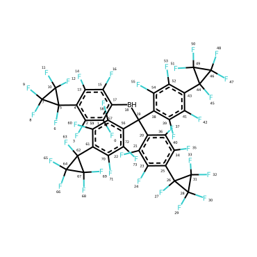 Fc1c(F)c(C2(F)C(F)(F)C2(F)F)c(F)c(F)c1BC(c1c(F)c(F)c(C2(F)C(F)(F)C2(F)F)c(F)c1F)(c1c(F)c(F)c(C2(F)C(F)(F)C2(F)F)c(F)c1F)c1c(F)c(F)c(C2(F)C(F)(F)C2(F)F)c(F)c1F